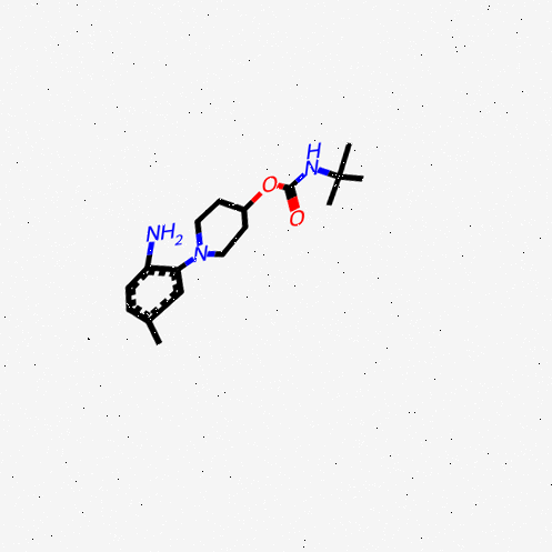 Cc1ccc(N)c(N2CCC(OC(=O)NC(C)(C)C)CC2)c1